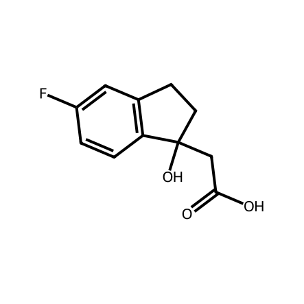 O=C(O)CC1(O)CCc2cc(F)ccc21